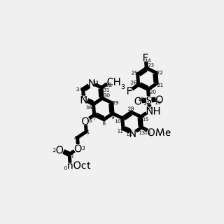 CCCCCCCCC(=O)OCCOc1cc(-c2cnc(OC)c(NS(=O)(=O)c3ccc(F)cc3F)c2)cc2c(C)ncnc12